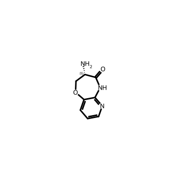 N[C@H]1COc2cccnc2NC1=O